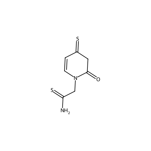 NC(=S)CN1C=CC(=S)CC1=O